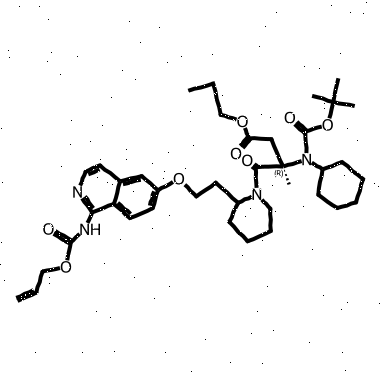 C=CCOC(=O)Nc1nccc2cc(OCCC3CCCCN3C(=O)[C@@](C)(CC(=O)OCCC)N(C(=O)OC(C)(C)C)C3CCCCC3)ccc12